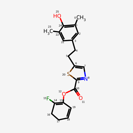 Cc1cc(CCc2cnc(C(=O)OC3=C(F)CCC=C3)s2)cc(C)c1O